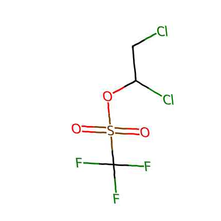 O=S(=O)(OC(Cl)CCl)C(F)(F)F